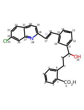 O=C(O)c1ccccc1CCC(O)c1cccc(/C=C/c2ccc3ccc(Cl)cc3n2)c1